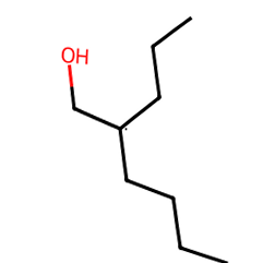 CCCC[C](CO)CCC